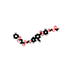 C=CC(=O)OCCOc1ccc(OC(=O)c2ccc(-c3ccc(OCCOC(=O)C(=C)CC(=O)OC4CCCCC4)cc3)c(CC)c2)cc1